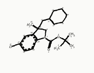 CC(C)(C)OC(=O)N1CC(C)(CC2CCCCC2)c2cc(Cl)ccc21